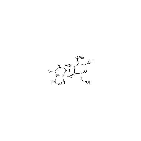 CO[C@H]1C(O)O[C@H](CO)[C@@H](O)[C@@H]1O.S=c1nc[nH]c2nc[nH]c12